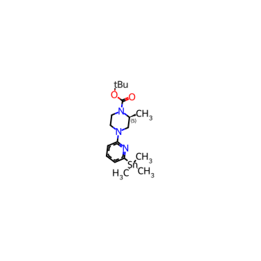 C[C@H]1CN(c2ccc[c]([Sn]([CH3])([CH3])[CH3])n2)CCN1C(=O)OC(C)(C)C